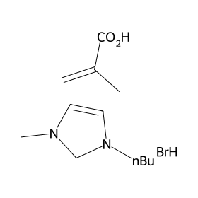 Br.C=C(C)C(=O)O.CCCCN1C=CN(C)C1